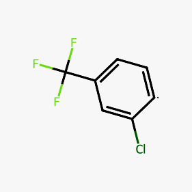 FC(F)(F)c1cc[c]c(Cl)c1